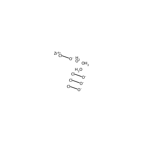 O.O.O.[O-]Cl.[O-]Cl.[O-]Cl.[O-]Cl.[Zr+4]